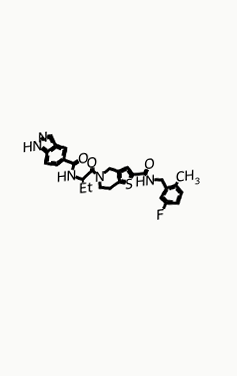 CC[C@@H](NC(=O)c1ccc2[nH]ncc2c1)C(=O)N1CCc2sc(C(=O)NCc3cc(F)ccc3C)cc2C1